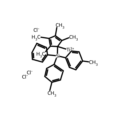 CC1=C(C)[C]([Ti+3])([Si](c2ccccc2)(c2ccc(C)cc2)c2ccc(C)cc2)C(C)=C1C.[Cl-].[Cl-].[Cl-]